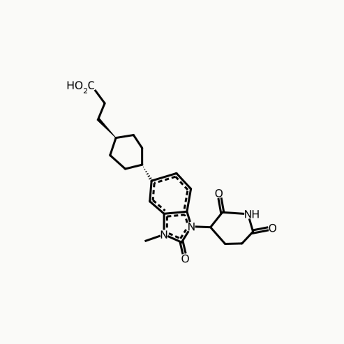 Cn1c(=O)n(C2CCC(=O)NC2=O)c2ccc([C@H]3CC[C@H](CCC(=O)O)CC3)cc21